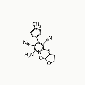 Cc1ccc(-c2c(C#N)c(N)nc(SC3CCOC3=O)c2C#N)cc1